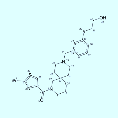 CC(C)c1nc(C(=O)N2CCOC3(CCN(Cc4cccc(SCCO)c4)CC3)C2)cs1